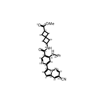 COC(=O)C1CC2(CC(NC(=O)c3cnc(-c4ccc5cc(C#N)cnn45)cc3NC(C)C)C2)C1